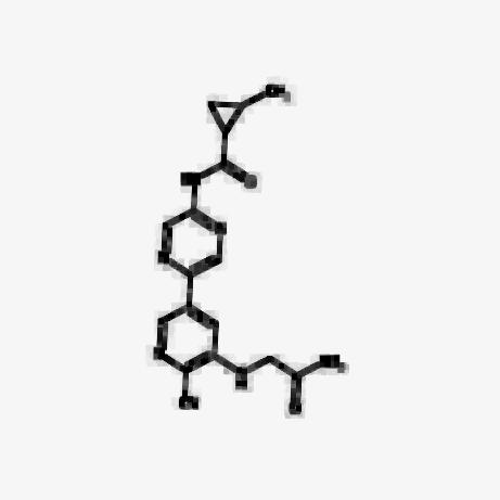 CC1CC1C(=O)Nc1cnc(-c2cnc(C#N)c(NCC(N)=O)c2)cn1